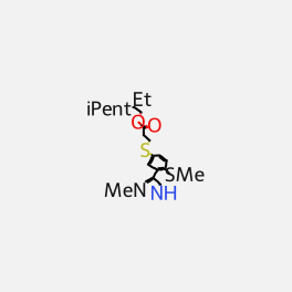 CCC[C@@H](C)C(CC)COC(=O)CCSc1ccc(SC)c(/C(C=N)=C/NC)c1